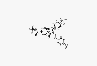 COc1ccc(CCN2C(=O)C3(CCN(C(=O)OC(C)(C)C)CC3)NC2c2ccc(C(C)(C)C)cc2)cc1